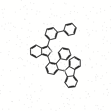 c1ccc(-c2cccc(-c3sc(-c4cccc(-n5c6ccccc6c6ccccc65)c4-c4ccccc4)c4ccccc34)c2)cc1